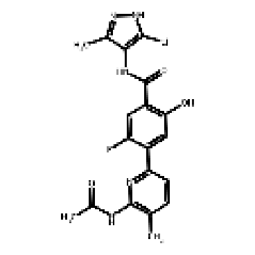 CC(=O)Nc1nc(-c2cc(O)c(C(=O)Nc3c(C)n[nH]c3Cl)cc2F)ccc1C